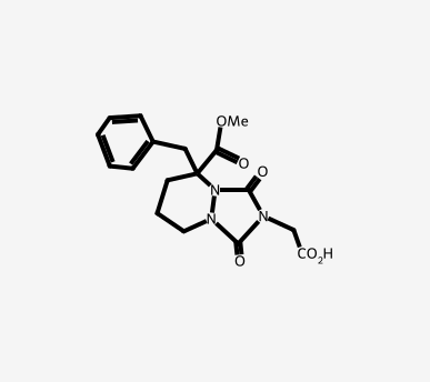 COC(=O)C1(Cc2ccccc2)CCCn2c(=O)n(CC(=O)O)c(=O)n21